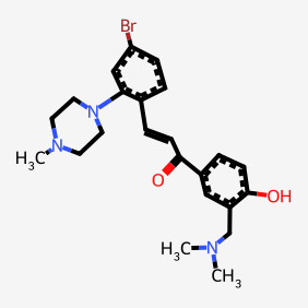 CN(C)Cc1cc(C(=O)C=Cc2ccc(Br)cc2N2CCN(C)CC2)ccc1O